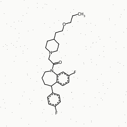 CCCOCCC1CCN(CC(=O)N2CCCC(c3ccc(F)cc3)c3ccc(F)cc32)CC1